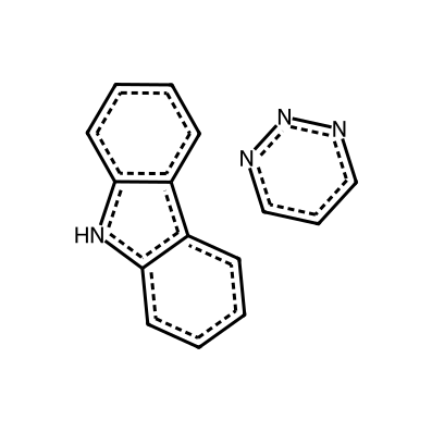 c1ccc2c(c1)[nH]c1ccccc12.c1cnnnc1